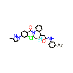 CC(=O)c1cccc(NC(=O)C=C2c3ccccc3N(C(=O)c3ccc(-n4ccc(C)n4)cc3Cl)CCC2(F)F)c1